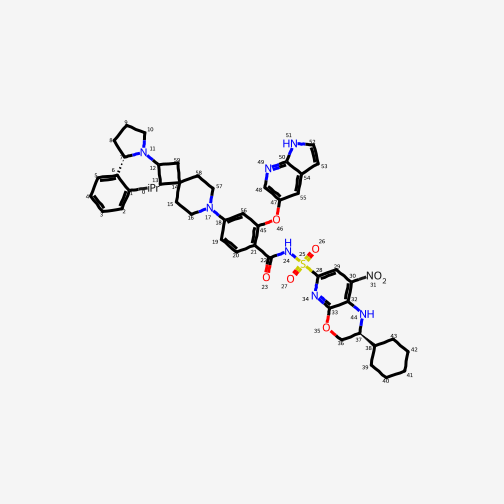 CC(C)c1ccccc1[C@@H]1CCCN1C1CC2(CCN(c3ccc(C(=O)NS(=O)(=O)c4cc([N+](=O)[O-])c5c(n4)OC[C@H](C4CCCCC4)N5)c(Oc4cnc5[nH]ccc5c4)c3)CC2)C1